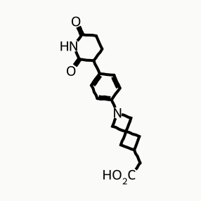 O=C(O)CC1CC2(C1)CN(c1ccc(C3CCC(=O)NC3=O)cc1)C2